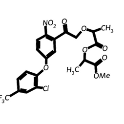 COC(=O)C(C)OC(=O)C(C)OCC(=O)c1cc(Oc2ccc(C(F)(F)F)cc2Cl)ccc1[N+](=O)[O-]